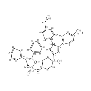 Cc1ccc(-c2cc(C3(O)CCC(OP(=O)(OCc4ccccc4)OCc4ccccc4)CC3)nn2-c2ccc(CO)cc2)cc1